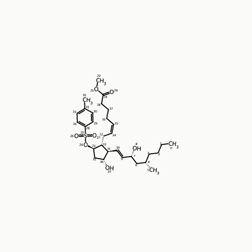 CCCC[C@H](C)C[C@@H](O)/C=C/[C@@H]1[C@@H](C/C=C\CCCC(=O)OC)[C@H](OS(=O)(=O)c2ccc(C)cc2)C[C@H]1O